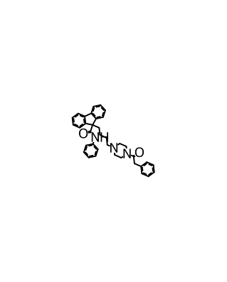 O=C(Cc1ccccc1)N1CCN(CCCCC2(C(=O)Nc3ccccc3)c3ccccc3-c3ccccc32)CC1